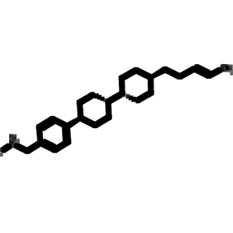 CC=CCC[C@H]1CC[C@H]([C@H]2CC[C@H](c3ccc(C[SiH2]C)cc3)CC2)CC1